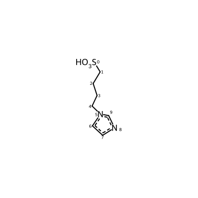 O=S(=O)(O)CCCCn1ccnc1